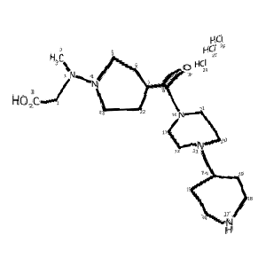 CN(CC(=O)O)N1CCC(C(=O)N2CCN(C3CCNCC3)CC2)CC1.Cl.Cl.Cl